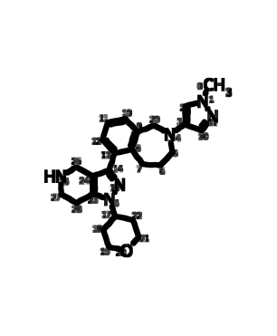 Cn1cc(N2CCCc3c(cccc3-c3nn(C4CCOCC4)c4c3CNCC4)C2)cn1